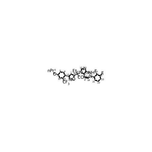 CCCOc1ccc(-c2cc(C(CC)(C(=O)O)n3cnc4c3C=CN(c3cccc(F)c3F)N4)on2)c(C(F)(F)F)c1